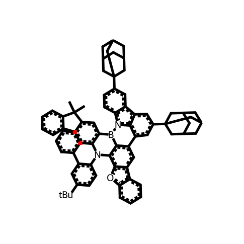 CC(C)(C)c1ccc(N2c3cc4c(cc3B3c5c(cc6c(oc7ccccc76)c52)-c2cc(C56CC7CC(CC(C7)C5)C6)cc5c6cc(C78CC9CC(CC(C9)C7)C8)ccc6n3c25)C(C)(C)c2ccccc2-4)c(-c2ccccc2)c1